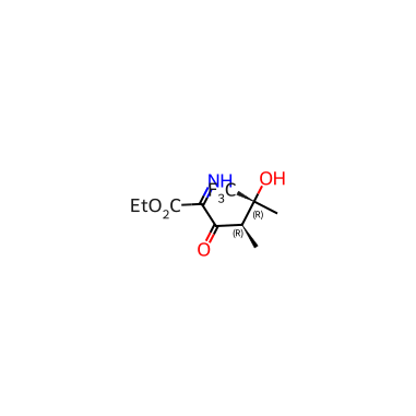 CCOC(=O)C(=N)C(=O)[C@H](C)[C@@](C)(O)C(F)(F)F